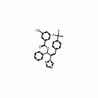 O=C(OC(/C(=C\c1ccc(C(F)(F)F)cc1)n1cncn1)c1ccccc1)c1cccc(Cl)c1